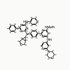 CC(C)Nc1nc(Nc2ccnc(N3CCOCC3)c2)nc(-c2ccc(N(c3nc(Nc4ccncc4)nc(-c4ccccc4)n3)C3C4COCC43)cc2)n1